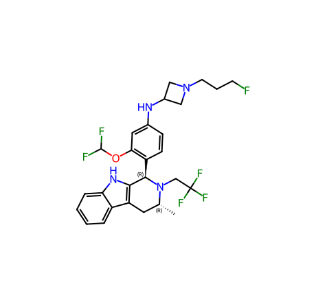 C[C@@H]1Cc2c([nH]c3ccccc23)[C@@H](c2ccc(NC3CN(CCCF)C3)cc2OC(F)F)N1CC(F)(F)F